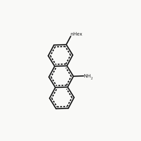 CCCCCCc1ccc2cc3ccccc3c(N)c2c1